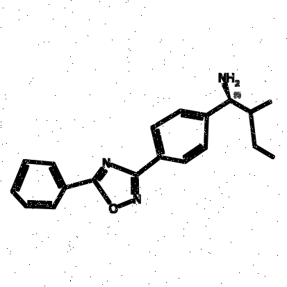 CCC(C)[C@H](N)c1ccc(-c2noc(-c3ccccc3)n2)cc1